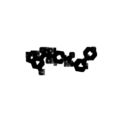 CC(C)(C1CCN(C(=O)Nc2ccnc(N3CCOCC3)c2)CC1)C(O)c1cc(Cl)cc2cn[nH]c12